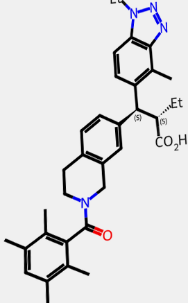 CC[C@H](C(=O)O)[C@@H](c1ccc2c(c1)CN(C(=O)c1c(C)c(C)cc(C)c1C)CC2)c1ccc2c(nnn2CC)c1C